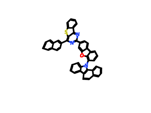 c1ccc2cc(-c3nc(-c4ccc5c(c4)oc4c(-n6c7ccccc7c7ccc8ccccc8c76)cccc45)nc4c3sc3ccccc34)ccc2c1